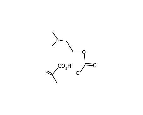 C=C(C)C(=O)O.CN(C)CCOC(=O)Cl